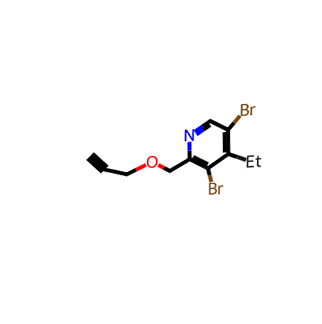 C#CCOCc1ncc(Br)c(CC)c1Br